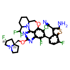 N#Cc1c(N)sc2c(F)ccc(-c3c(Cl)c4c5c(nc(OC[C@@]67CCCN6C[C@H](F)C7)nc5c3F)N3C(CCCC3C(F)F)CO4)c12